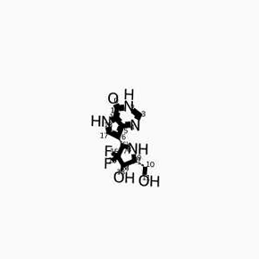 O=c1[nH]cnc2c([C@@H]3N[C@H](CO)[C@@H](O)C3(F)F)c[nH]c12